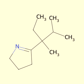 CCC(C)(C1=NCCC1)C(C)C